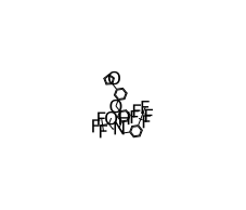 OC(CN(Cc1cccc(C(F)(F)C(F)(F)F)c1)c1cccc(Oc2cccc(-c3ccco3)c2)c1)C(F)(F)F